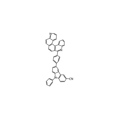 N#Cc1ccc2c(c1)c1cc(-c3ccc(-c4nc5ccccc5c5c4ccc4ccc6ncccc6c45)cc3)ccc1n2-c1ccccc1